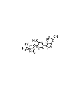 Cc1nc(-c2cnn3cc(C#N)cnc23)ccc1OCC(C)(N)CC(C)C